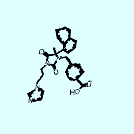 CC1(c2cccc3ccccc23)C(=O)N(CCCn2ccnc2)C(=O)N1Cc1ccc(C(=O)O)cc1